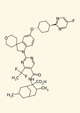 CC1CC2CC(C)C(NC(=O)c3cnc(N4CC5(CCOCC5)c5cc(O[C@H]6CC[C@H](c7ncc(F)cn7)CC6)ccc54)nc3C(C)(F)F)(C(=O)O)C(C1)C2